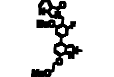 COCCOc1ccc(-c2cc(F)c(CN3Cc4ncccc4C3=O)c(OCC(C)C)c2)c2cn(C)nc12